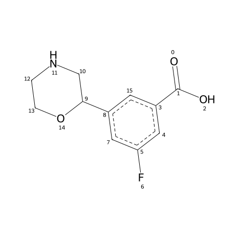 O=C(O)c1cc(F)cc(C2CNCCO2)c1